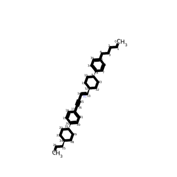 CCCCCc1ccc([C@H]2CC[C@H](/C=C/C#Cc3ccc([C@H]4CC[C@H](CCC)CC4)cc3)CC2)cc1